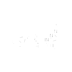 C=C(CCNC(=O)COc1ccc(Cl)c(F)c1)Nc1cccc(N2CCOCC2)n1